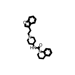 O=C(NC1CCN(CCc2coc3ccccc23)CC1)N1CCCc2ccccc21